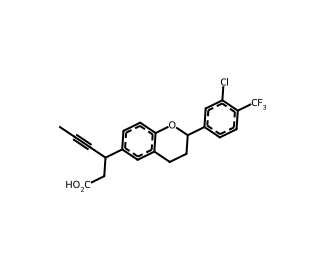 CC#CC(CC(=O)O)c1ccc2c(c1)CCC(c1ccc(C(F)(F)F)c(Cl)c1)O2